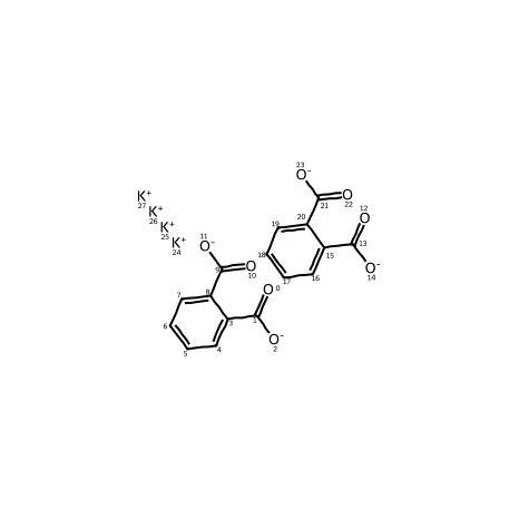 O=C([O-])c1ccccc1C(=O)[O-].O=C([O-])c1ccccc1C(=O)[O-].[K+].[K+].[K+].[K+]